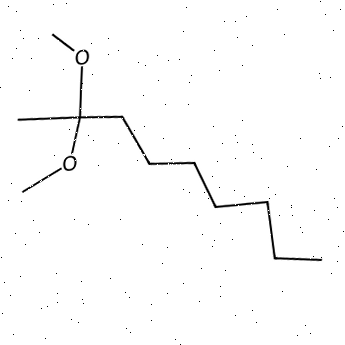 CCCCCCCC(C)(OC)OC